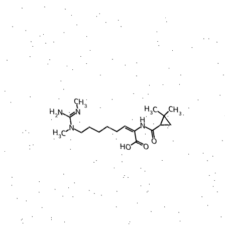 CN=C(N)N(C)CCCCCC=C(NC(=O)C1CC1(C)C)C(=O)O